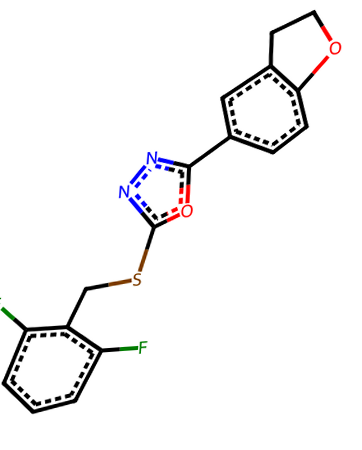 Fc1cccc(F)c1CSc1nnc(-c2ccc3c(c2)CCO3)o1